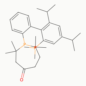 CC(C)c1cc(C(C)C)c(-c2ccccc2P2C(C)(C)CCC(=O)CC2(C)C)c(P(C)C)c1